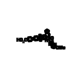 COc1ccc2nc(NC(=O)C(CC3CCCC3)c3ccc(S(=O)(=O)N4CCC(N5CCC(C(=O)O)CC5)CC4)cc3)sc2n1